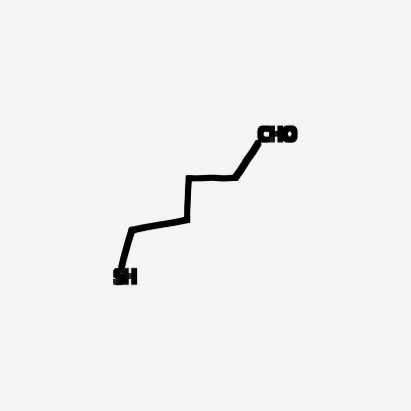 O=CCCCCS